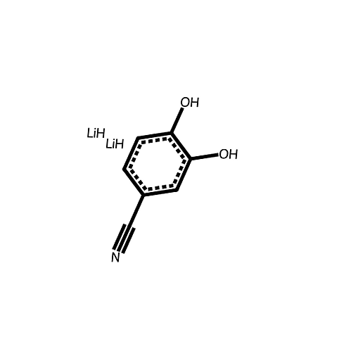 N#Cc1ccc(O)c(O)c1.[LiH].[LiH]